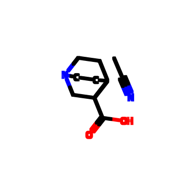 CC#N.O=C(O)C1CN2CCC1CC2